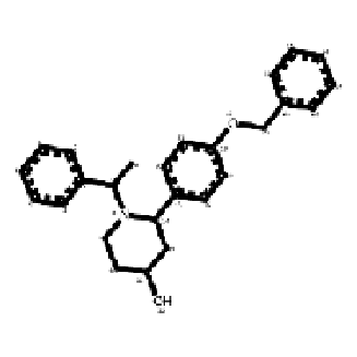 CC(c1ccccc1)N1CCC(O)CC1c1ccc(OCc2ccccc2)cc1